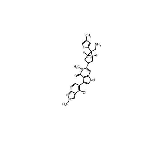 Cc1csc(C2(CN)[C@@H]3CN(c4nc5[nH]cc(-c6ccc7nn(C)cc7c6Cl)c5c(=O)n4C)C[C@@H]32)n1